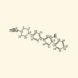 CCCCC1CCC(c2ccc(-c3ccc(-c4ccc(C)cc4)c(F)c3)cc2)CC1